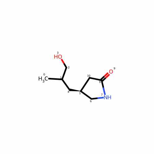 CC(CO)C[C@@H]1CNC(=O)C1